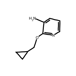 Nc1cccnc1OCC1CC1